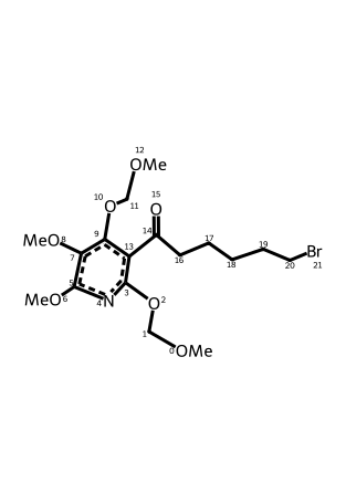 COCOc1nc(OC)c(OC)c(OCOC)c1C(=O)CCCCCBr